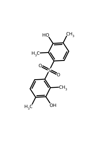 Cc1ccc(S(=O)(=O)c2ccc(C)c(O)c2C)c(C)c1O